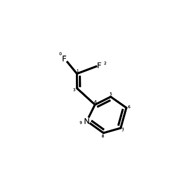 FC(F)=Cc1cc[c]cn1